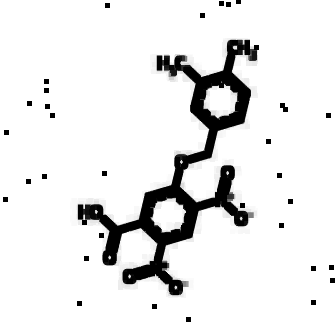 Cc1ccc(COc2cc(C(=O)O)c([N+](=O)[O-])cc2[N+](=O)[O-])cc1C